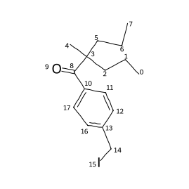 CCCC(C)(CCC)C(=O)c1ccc(CI)cc1